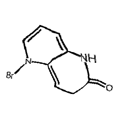 O=C1CC=C2C(=CC=CN2Br)N1